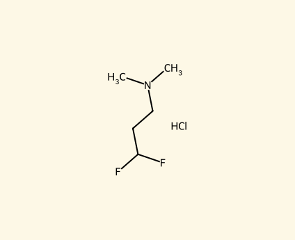 CN(C)CCC(F)F.Cl